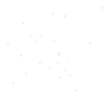 CNC(=O)N1CC=C(C(C)(C)C)CC1